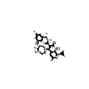 Cc1cc2c(N3CCN[C@@H](C)CC3)c(C(=O)N[C@@H](C)c3cc(F)cc(Cl)c3)c(=O)[nH]c2c(C2CC2)n1